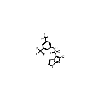 O=S(=O)(Nc1cc(C(F)(F)F)cc(C(F)(F)F)c1)c1c(Cl)nc2sccn12